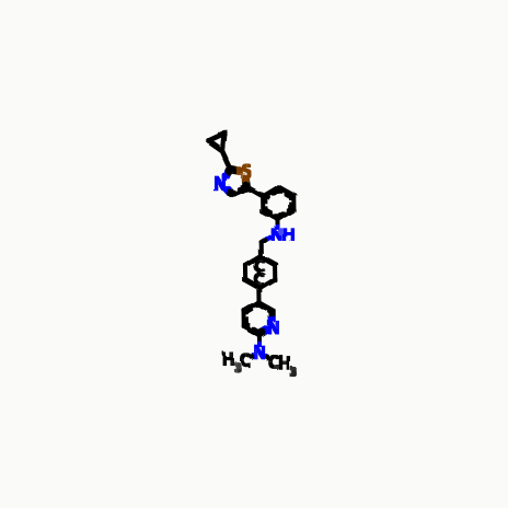 CN(C)c1ccc(C23CCC(CNc4cccc(-c5cnc(C6CC6)s5)c4)(CC2)CC3)cn1